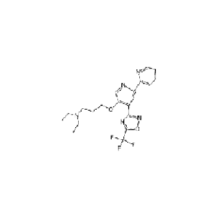 CCN(CC)CCCOc1cnc(-c2ccccn2)cc1-c1noc(C(F)(F)F)n1